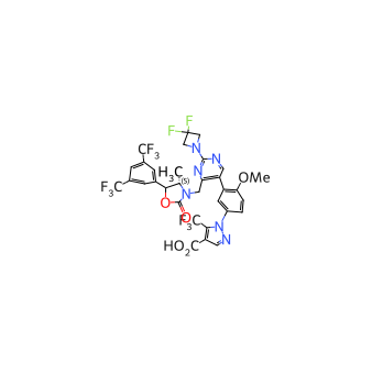 COc1ccc(-n2ncc(C(=O)O)c2C(F)(F)F)cc1-c1cnc(N2CC(F)(F)C2)nc1CN1C(=O)OC(c2cc(C(F)(F)F)cc(C(F)(F)F)c2)[C@@H]1C